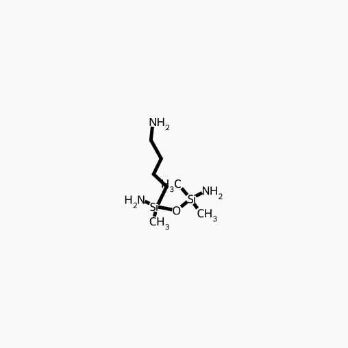 C[Si](C)(N)O[Si](C)(N)CCCCN